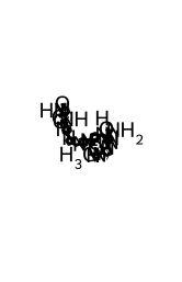 CN1CCN([C@@H]2CCCN(c3nnc(C(N)=O)c(Nc4ccc(N5CCN(CC6CCN(c7ccc(C(=O)N[C@H]8CCC(=O)NC8=O)nc7)C6)CC5)c(F)c4)n3)C2)C1=O